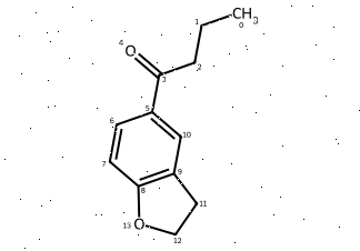 CCCC(=O)c1ccc2c(c1)CCO2